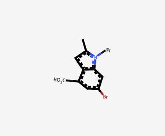 Cc1cc2c(C(=O)O)cc(Br)cc2n1C(C)C